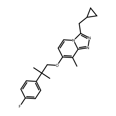 Cc1c(OCC(C)(C)c2ccc(F)cc2)ccn2c(CC3CC3)nnc12